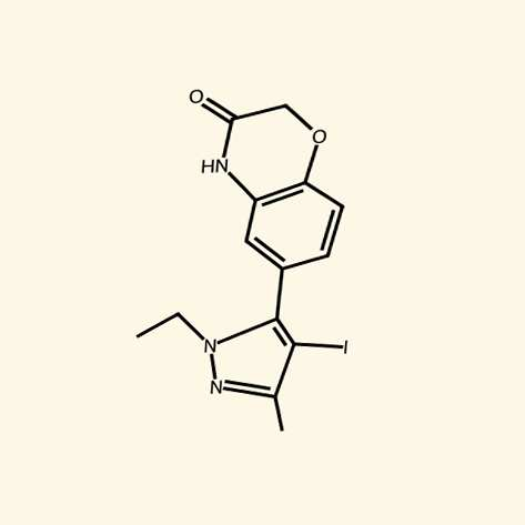 CCn1nc(C)c(I)c1-c1ccc2c(c1)NC(=O)CO2